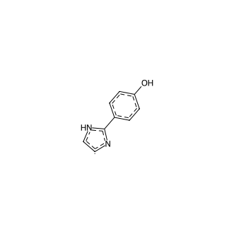 Oc1ccc(-c2n[c]c[nH]2)cc1